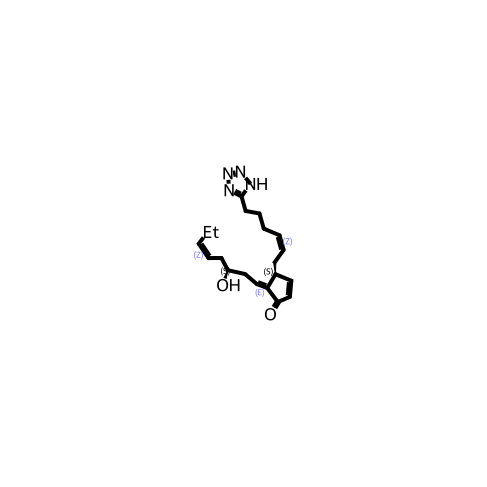 CC/C=C\C[C@H](O)C/C=C1/C(=O)C=C[C@@H]1C/C=C\CCCc1nnn[nH]1